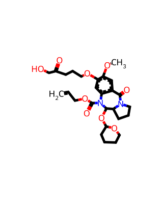 C=CCOC(=O)N1c2cc(OCCCC(=O)CO)c(OC)cc2C(=O)N2CCCC2C1OC1CCCCO1